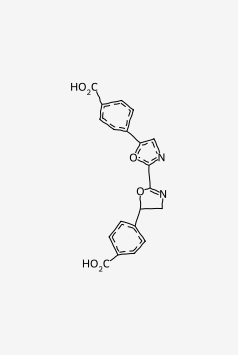 O=C(O)c1ccc(-c2cnc(C3=NCC(c4ccc(C(=O)O)cc4)O3)o2)cc1